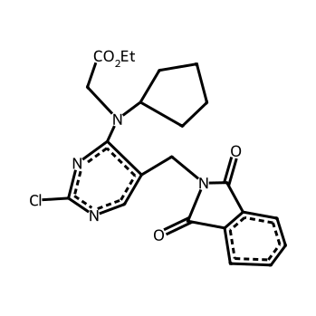 CCOC(=O)CN(c1nc(Cl)ncc1CN1C(=O)c2ccccc2C1=O)C1CCCC1